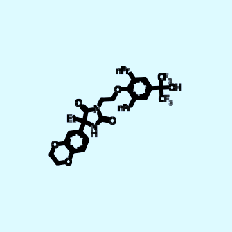 CCCc1cc(C(O)(C(F)(F)F)C(F)(F)F)cc(CCC)c1OCCN1C(=O)NC(CC)(c2ccc3c(c2)OCCO3)C1=O